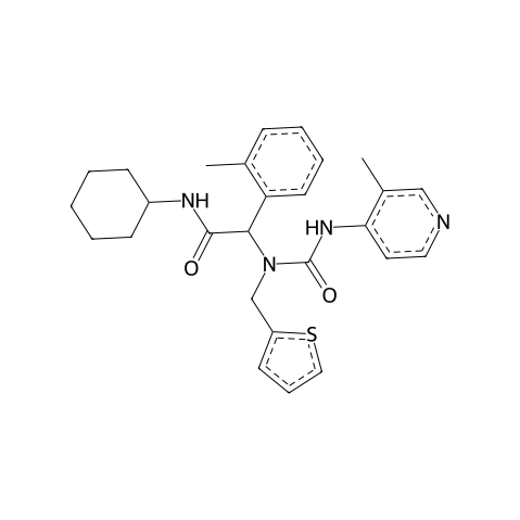 Cc1cnccc1NC(=O)N(Cc1cccs1)C(C(=O)NC1CCCCC1)c1ccccc1C